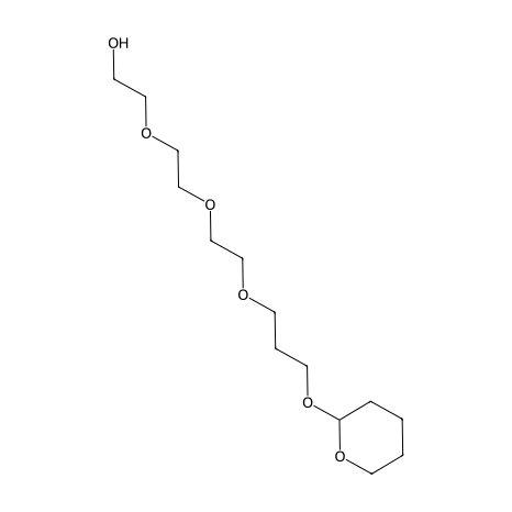 OCCOCCOCCOCCCOC1CCCCO1